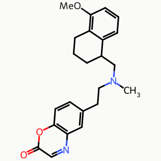 COc1cccc2c1CCCC2CN(C)CCc1ccc2oc(=O)cnc2c1